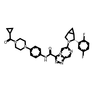 O=C(Nc1ccc(N2CCN(C(=O)C3CC3)CC2)cc1)c1nnc2cnc(N3CC4CC4[C@@H]3c3cc(F)ccc3F)cn12